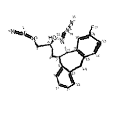 [N-]=[N+]=NC[C@@H](O)C[C@@H]1c2ccccc2Cc2ccc(F)cc2[C@H]1N=[N+]=[N-]